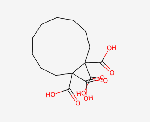 O=C(O)C1(C(=O)O)CCCCCCCCCC1(C(=O)O)C(=O)O